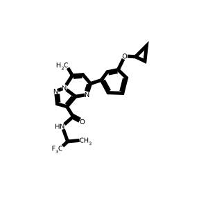 Cc1cc(-c2cccc(OC3CC3)c2)nc2c(C(=O)NC(C)C(F)(F)F)cnn12